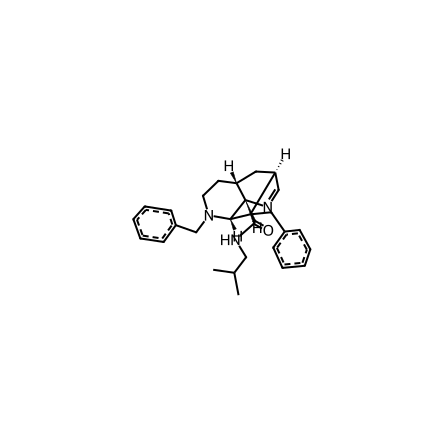 CC(C)CNC(=O)[C@]12N=C[C@@H]3C[C@H]1CCN(Cc1ccccc1)[C@H]2[C@@H]3Cc1ccccc1